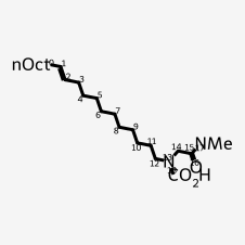 CCCCCCCCC=CCCCCCCCCCCN(CC(=O)NC)C(=O)O